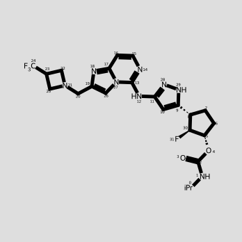 CC(C)NC(=O)O[C@H]1CC[C@@H](c2cc(Nc3nccc4nc(CN5CC(C(F)(F)F)C5)cn34)n[nH]2)[C@@H]1F